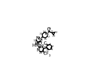 O=C(O)c1ccccc1-c1nc(Nc2cnn(C3CCN(C(=O)C4CC4)CC3)c2)ncc1C(F)(F)F